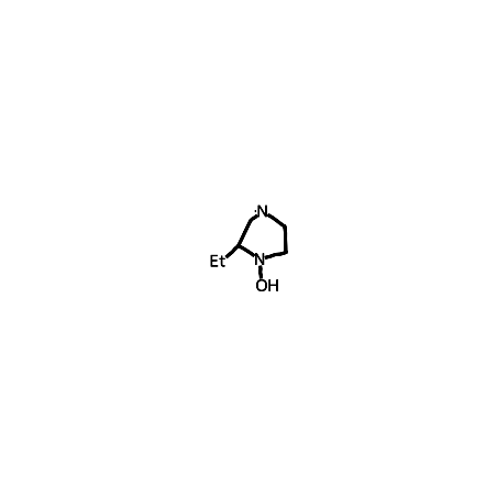 CCC1C[N]CCN1O